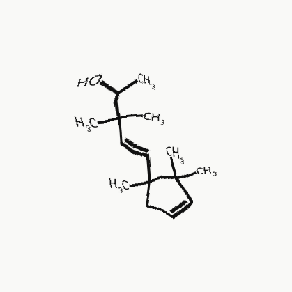 CC(O)C(C)(C)C=CC1(C)CC=CC1(C)C